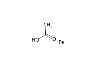 CC(=O)O.[Fe]